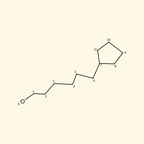 [O]CCCCCCC1CCCC1